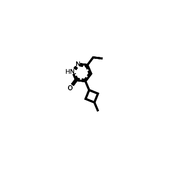 CCc1cc(C2CC(C)C2)c(=O)[nH]n1